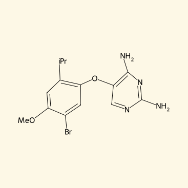 COc1cc(C(C)C)c(Oc2cnc(N)nc2N)cc1Br